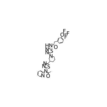 CC(=O)N(c1ccccn1)c1nnc(C2CCCN(c3nnc(NC(=O)Cc4cccc(OC(F)(F)F)c4)s3)C2)s1